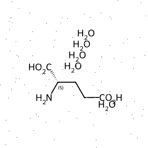 N[C@@H](CCC(=O)O)C(=O)O.O.O.O.O.O